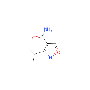 CC(C)c1no[c]c1C(N)=O